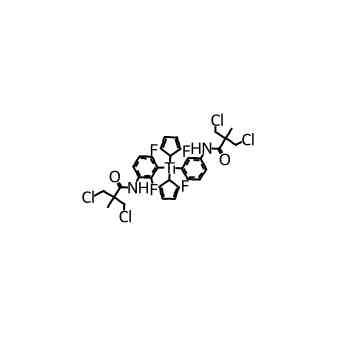 CC(CCl)(CCl)C(=O)Nc1ccc(F)[c]([Ti]([c]2c(F)ccc(NC(=O)C(C)(CCl)CCl)c2F)([CH]2C=CC=C2)[CH]2C=CC=C2)c1F